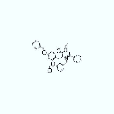 CCOC(=O)C(Cc1ccc(OCc2ccccc2)cc1OCOC)N(Cc1ccccc1)[C@@H](C)c1ccccc1